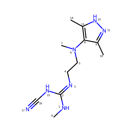 CNC(=NCCN(C)c1c(C)n[nH]c1C)NC#N